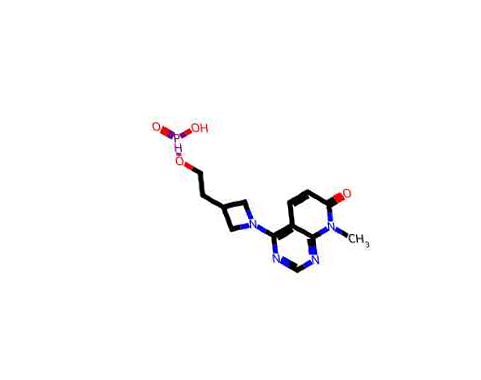 Cn1c(=O)ccc2c(N3CC(CCO[PH](=O)O)C3)ncnc21